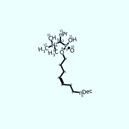 CCCCCCCCCCCC/C=C\CCCOP(=O)(O)C(CCC)[N+](C)(C)C